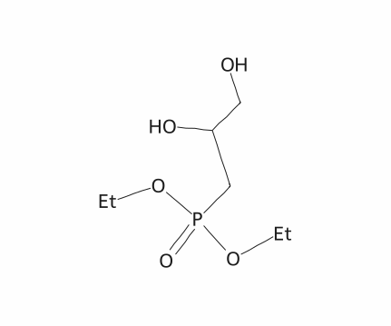 CCOP(=O)(CC(O)CO)OCC